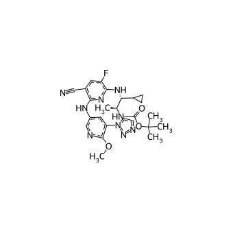 COc1ncc(Nc2nc(N[C@H](C3CC3)[C@H](C)NC(=O)OC(C)(C)C)c(F)cc2C#N)cc1-n1ccnn1